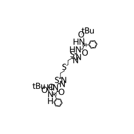 CC(C)(C)OCN[C@@H](C(=O)Nc1nnc(CCSCCc2nnc(NC(=O)[C@H](NC(=O)OC(C)(C)C)c3ccccc3)s2)s1)c1ccccc1